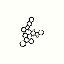 C1=CCc2c(c3ccccc3c3c(-c4nc5oc6c(c5nc4-n4c5ccccc5c5cc7ccccc7cc54)CCC=C6)cccc23)C=C1